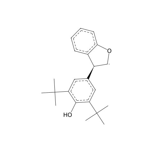 CC(C)(C)c1cc([C@@H]2[CH]Oc3ccccc32)cc(C(C)(C)C)c1O